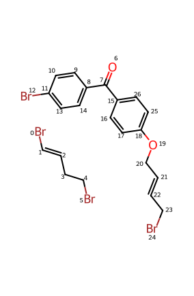 BrC=CCCBr.O=C(c1ccc(Br)cc1)c1ccc(OCC=CCBr)cc1